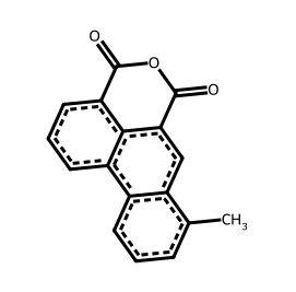 Cc1cccc2c1cc1c3c(cccc32)C(=O)OC1=O